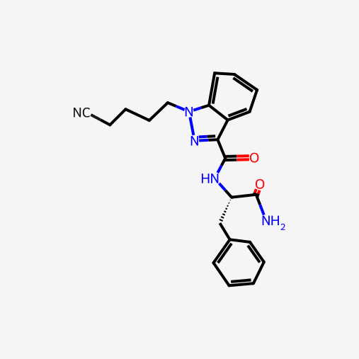 N#CCCCCn1nc(C(=O)N[C@@H](Cc2ccccc2)C(N)=O)c2ccccc21